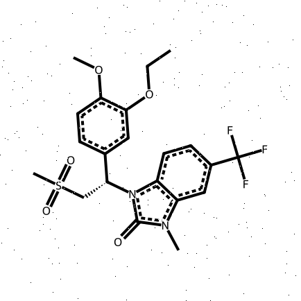 CCOc1cc([C@@H](CS(C)(=O)=O)n2c(=O)n(C)c3cc(C(F)(F)F)ccc32)ccc1OC